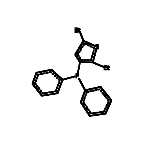 CCc1cc(P(c2ccccc2)c2ccccc2)c(CC)s1